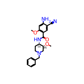 COc1cc(N)c(C#N)cc1C(=O)N[C@H]1CCN(Cc2ccccc2)C[C@H]1OC